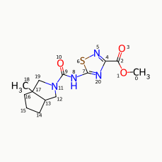 COC(=O)c1nsc(NC(=O)N2CC3CCCC3(C)C2)n1